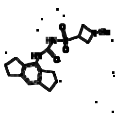 CC(C)(C)N1CC(S(=O)(=O)NC(=O)Nc2c3c(cc4c2CCC4)CCC3)C1